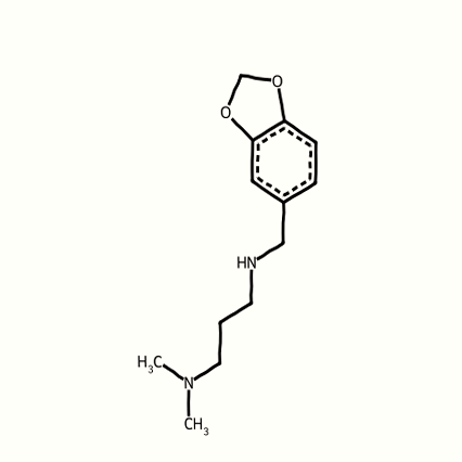 CN(C)CCCNCc1ccc2c(c1)OCO2